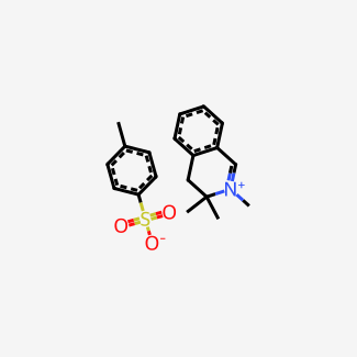 C[N+]1=Cc2ccccc2CC1(C)C.Cc1ccc(S(=O)(=O)[O-])cc1